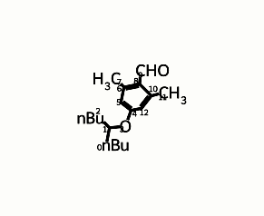 CCCCC(CCCC)Oc1cc(C)c(C=O)c(C)c1